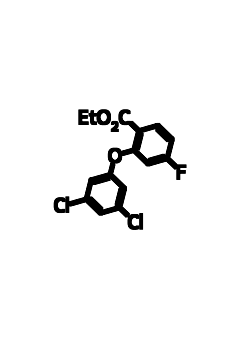 CCOC(=O)c1ccc(F)cc1Oc1cc(Cl)cc(Cl)c1